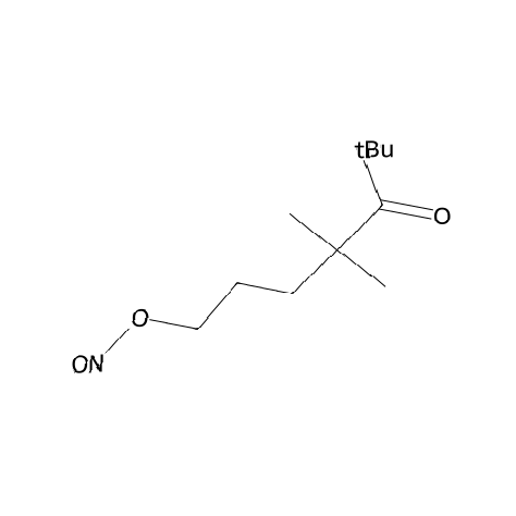 CC(C)(C)C(=O)C(C)(C)CCCON=O